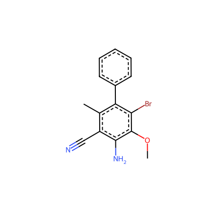 COc1c(N)c(C#N)c(C)c(-c2ccccc2)c1Br